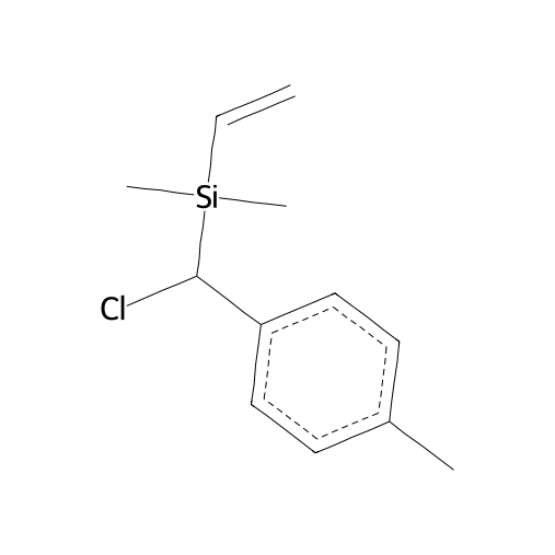 C=C[Si](C)(C)C(Cl)c1ccc(C)cc1